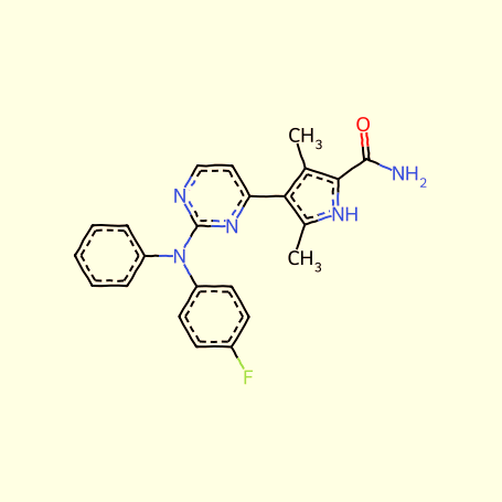 Cc1[nH]c(C(N)=O)c(C)c1-c1ccnc(N(c2ccccc2)c2ccc(F)cc2)n1